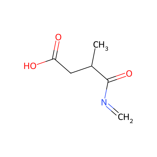 C=NC(=O)C(C)CC(=O)O